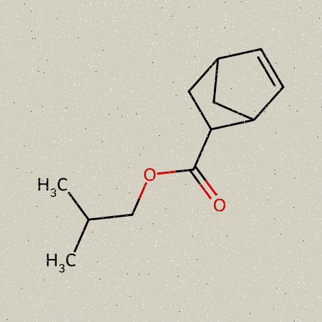 CC(C)COC(=O)C1CC2C=CC1C2